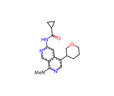 CNc1ncc(C2CCCOC2)c2cc(NC(=O)C3CC3)ncc12